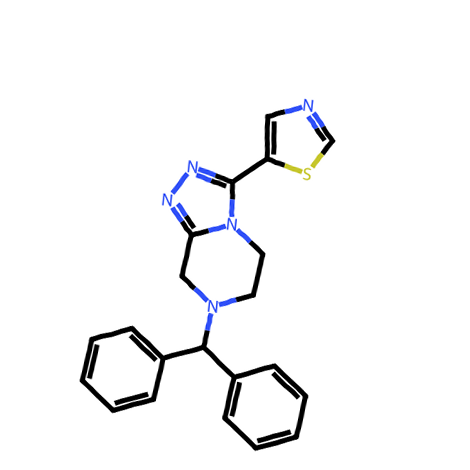 c1ccc(C(c2ccccc2)N2CCn3c(nnc3-c3cncs3)C2)cc1